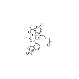 CC(=O)OCC[C@H]1O[C@@H](Oc2ccccc2COS(C)(=O)=O)[C@H](OC(C)=O)[C@@H](OC(C)=O)[C@H]1OC(C)=O